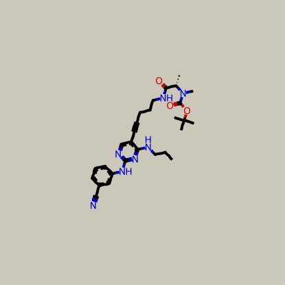 CCCNc1nc(Nc2cccc(C#N)c2)ncc1C#CCCCNC(=O)[C@H](C)N(C)C(=O)OC(C)(C)C